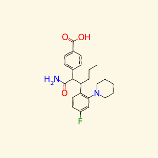 CCCC(c1ccc(F)cc1N1CCCCC1)C(C(N)=O)c1ccc(C(=O)O)cc1